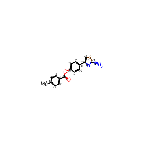 CC(C)(C)c1ccc(C(=O)Oc2ccc(-c3csc(N)n3)cc2)cc1